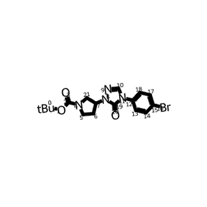 CC(C)(C)OC(=O)N1CCC(n2ncn(-c3ccc(Br)cc3)c2=O)C1